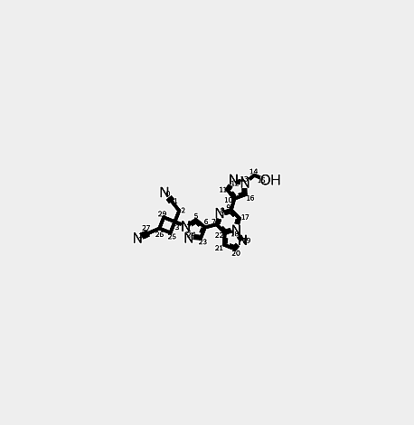 N#CCC1(n2cc(-c3nc(-c4cnn(CO)c4)cn4nccc34)cn2)CC(C#N)C1